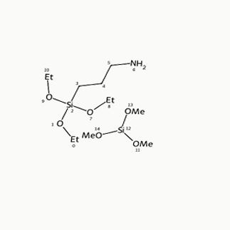 CCO[Si](CCCN)(OCC)OCC.CO[Si](OC)OC